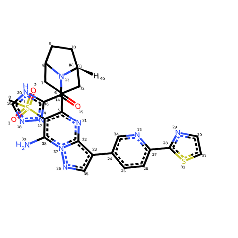 CS(=O)(=O)c1c(C2CC3CC[C@H](C2)N3C(=O)c2nnc[nH]2)nc2c(-c3ccc(-c4nccs4)nc3)cnn2c1N